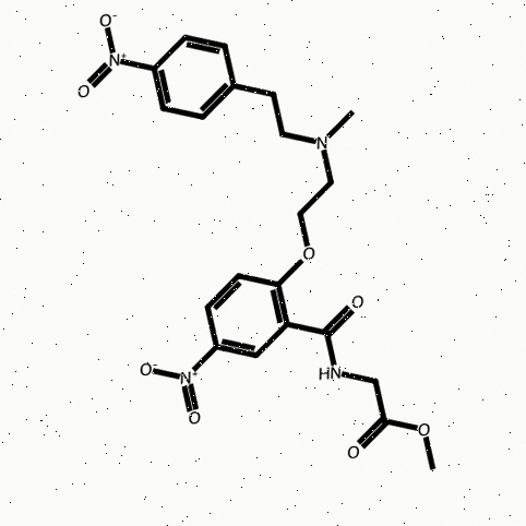 COC(=O)CNC(=O)c1cc([N+](=O)[O-])ccc1OCCN(C)CCc1ccc([N+](=O)[O-])cc1